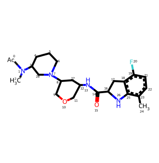 CC(=O)N(C)C1CCCN(C2COCC(NC(=O)C3Cc4c(F)ccc(C)c4N3)C2)C1